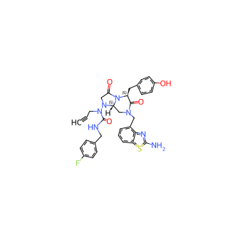 C#CCN(C(=O)NCc1ccc(F)cc1)N1CC(=O)N2[C@@H](Cc3ccc(O)cc3)C(=O)N(Cc3cccc4sc(N)nc34)C[C@@H]21